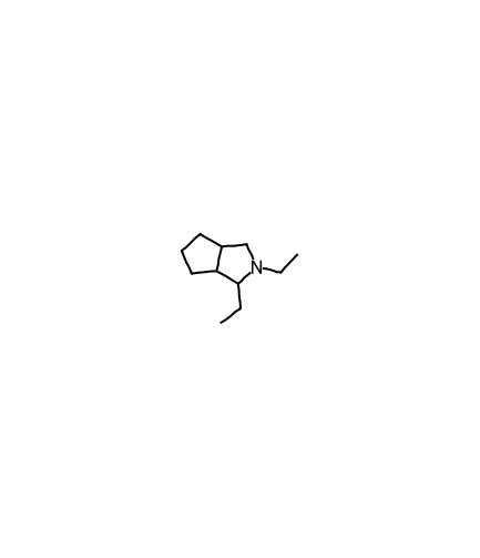 CCC1C2CCCC2CN1CC